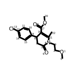 COCCN1C(=O)CC(c2ccc(Cl)cc2)C(C(=O)OC)=C1C